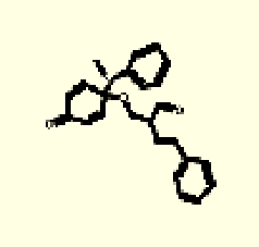 CN(c1ccccc1)C1(OCC(C=O)CCc2ccccc2)C=CC(=O)C=C1